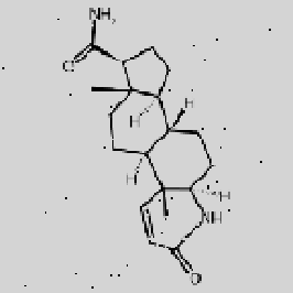 C[C@]12C=CC(=O)N[C@@H]1CC[C@@H]1[C@@H]2CC[C@]2(C)[C@@H](C(N)=O)CC[C@@H]12